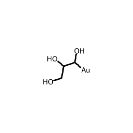 OCC(O)[CH](O)[Au]